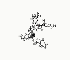 Cc1cc(NC(=O)C(CC23CC(NC(=O)O)(C2)C3)NC(=O)[C@@H]2Cc3ccccc3CN2C(=O)CCC(=O)c2ccccc2)ccc1Cl